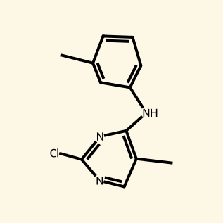 Cc1cccc(Nc2nc(Cl)ncc2C)c1